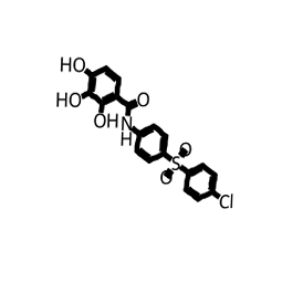 O=C(Nc1ccc(S(=O)(=O)c2ccc(Cl)cc2)cc1)c1ccc(O)c(O)c1O